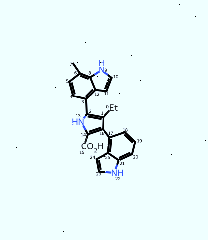 CCc1c(-c2ccc(C)c3[nH]ccc23)[nH]c(C(=O)O)c1-c1cccc2[nH]ccc12